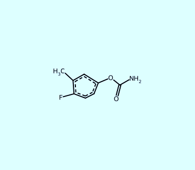 Cc1cc(OC(N)=O)ccc1F